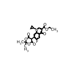 CCOC(=O)c1cn(C2CC2)c2cc(C3C(=O)OC(C)(C)OC3=O)c(F)cc2c1=O